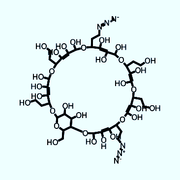 [N-]=[N+]=NCCC1O/C(O)=C(/O)C(CCO)O/C(O)=C(\O)C(CCO)OC(O)/C(O)=C(\O)C(CCN=[N+]=[N-])OC(O)/C(O)=C(/O)C(CCO)OC(O)/C(O)=C(/O)C(CCO)OC2OC(CO)C(OC(O)/C(O)=C\1O)C(O)C2O